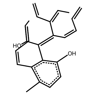 C=C\C=C/C(C(/C=C)=C\C)=C(/C(O)=C\C)c1c(O)ccc(C)c1/C=C\C=C